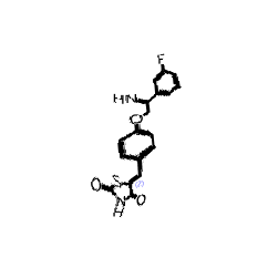 N=C(COc1ccc(/C=C2\SC(=O)NC2=O)cc1)c1cccc(F)c1